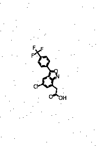 O=C(O)Cc1cc(Cl)cc2c(-c3ccc(C(F)(F)F)cc3)onc12